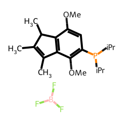 COc1cc(P(C(C)C)C(C)C)c(OC)c2c1C(C)C(C)=C2C.FB(F)F